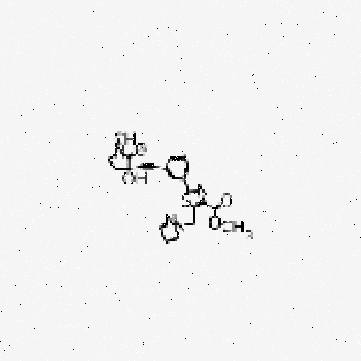 COC(=O)c1nc(-c2cccc(C#C[C@]3(O)CCN(C)C3=O)c2)sc1Cn1cccn1